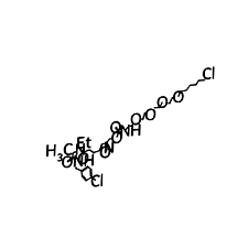 CCN(C(=O)CCc1cc(COC(=O)NCCOCCOCCOCCOCCCCCCCl)no1)C(C)C(=O)NCc1ccc(Cl)cc1